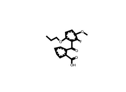 CCCOc1ccc(OC)c(F)c1C(=O)c1ccccc1C(=O)O